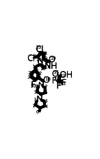 CC1CCN(C2CCN(C(=O)c3cc(Cc4c[nH]c(=O)c5cc(Cl)c(Cl)n45)ccc3F)CC2)CC1.O=C(O)C(F)(F)F